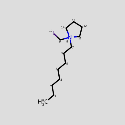 CCCCCCCC[N+]1(CI)CCCC1